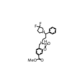 COC(=O)c1ccc(CN(CCC(c2ccccc2)N2CCC(F)(F)C2)[SH](=O)=O)cc1